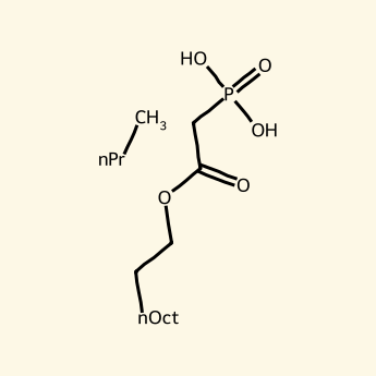 CCCC.CCCCCCCCCCOC(=O)CP(=O)(O)O